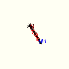 CCNCCOCCOCCOCCOCC(=O)C(C)C